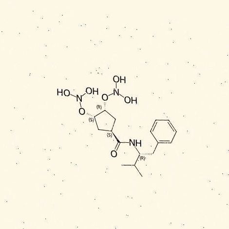 CC(C)[C@@H](Cc1ccccc1)NC(=O)[C@H]1C[C@H](ON(O)O)[C@H](ON(O)O)C1